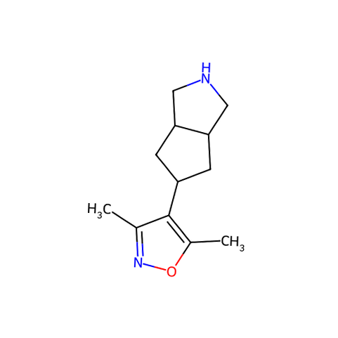 Cc1noc(C)c1C1CC2CNCC2C1